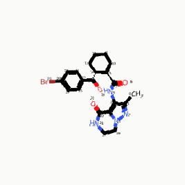 Cc1nn2c(c1NC(=O)[C@@H]1CCCC[C@H]1C(=O)c1ccc(Br)cc1)C(=O)NCC2